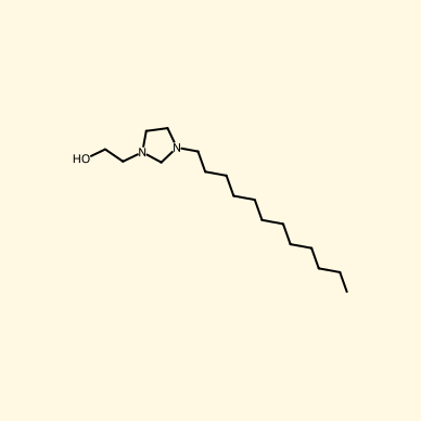 CCCCCCCCCCCCN1CCN(CCO)C1